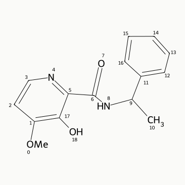 COc1ccnc(C(=O)NC(C)c2ccccc2)c1O